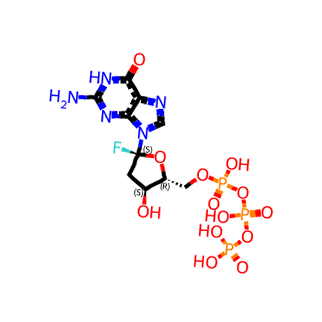 Nc1nc2c(ncn2[C@@]2(F)C[C@H](O)[C@@H](COP(=O)(O)OP(=O)(O)OP(=O)(O)O)O2)c(=O)[nH]1